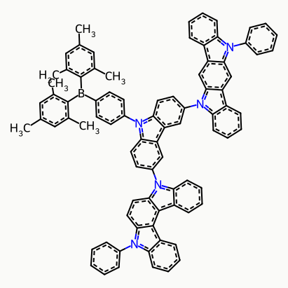 Cc1cc(C)c(B(c2ccc(-n3c4ccc(-n5c6ccccc6c6cc7c(cc65)c5ccccc5n7-c5ccccc5)cc4c4cc(-n5c6ccccc6c6c7c8ccccc8n(-c8ccccc8)c7ccc65)ccc43)cc2)c2c(C)cc(C)cc2C)c(C)c1